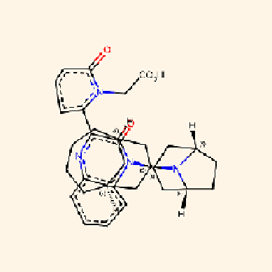 O=C(O)Cn1c(-c2nc3ccccc3n([C@@H]3C[C@H]4CC[C@@H](C3)N4[C@@H]3C[C@@H]4CCCC[C@@H](C4)C3)c2=O)cccc1=O